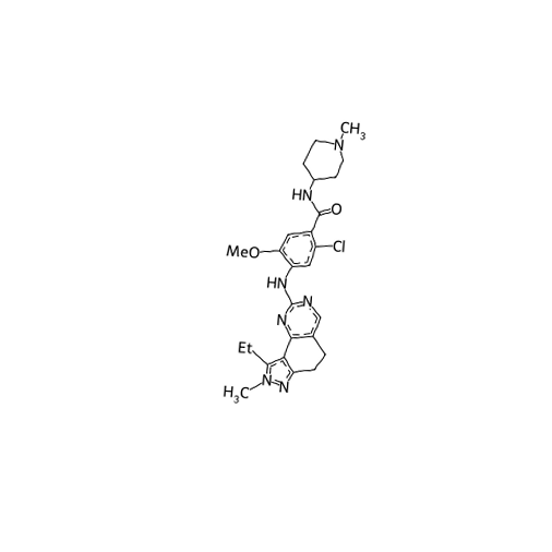 CCc1c2c(nn1C)CCc1cnc(Nc3cc(Cl)c(C(=O)NC4CCN(C)CC4)cc3OC)nc1-2